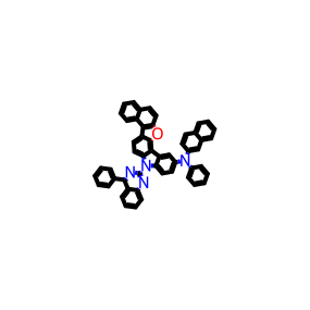 c1ccc(-c2nc(-n3c4ccc(N(c5ccccc5)c5ccc6ccccc6c5)cc4c4c5oc6ccc7ccccc7c6c5ccc43)nc3ccccc23)cc1